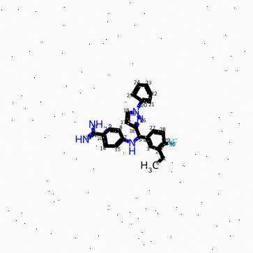 CCc1cc(C(Nc2ccc(C(=N)N)cc2)c2ccn(-c3ccccc3)n2)ccc1F